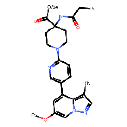 CCOc1cc(-c2ccc(N3CCC(NC(=O)CC(C)C)(C(=O)OC)CC3)nc2)c2c(C#N)cnn2c1